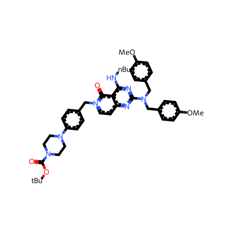 CCCCNc1nc(N(Cc2ccc(OC)cc2)Cc2ccc(OC)cc2)nc2ccn(Cc3ccc(N4CCN(C(=O)OC(C)(C)C)CC4)cc3)c(=O)c12